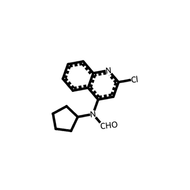 O=CN(c1cc(Cl)nc2ccccc12)C1CCCC1